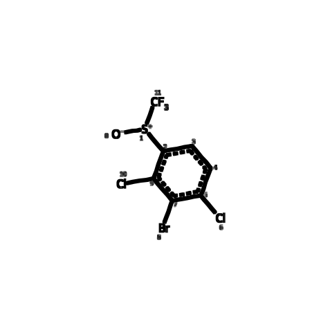 [O-][S+](c1ccc(Cl)c(Br)c1Cl)C(F)(F)F